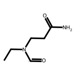 CCN([C]=O)CCC(N)=O